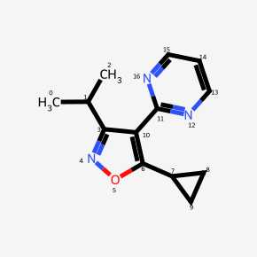 CC(C)c1noc(C2CC2)c1-c1ncccn1